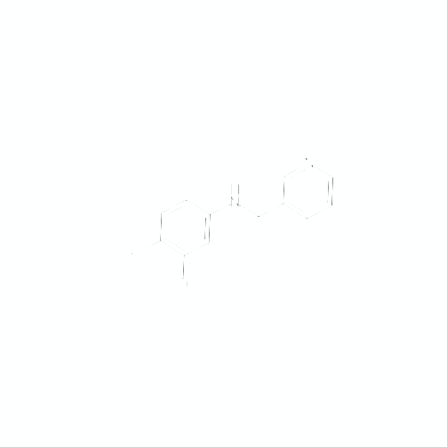 Cc1ccc(NCc2cccnc2)cc1[O]